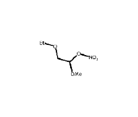 CCOCC(OC)O[N+](=O)[O-]